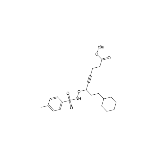 Cc1ccc(S(=O)(=O)NOC(C#CCCC(=O)OC(C)(C)C)CCC2CCCCC2)cc1